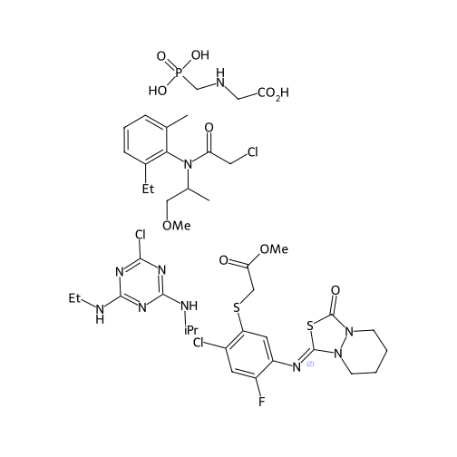 CCNc1nc(Cl)nc(NC(C)C)n1.CCc1cccc(C)c1N(C(=O)CCl)C(C)COC.COC(=O)CSc1cc(/N=c2\sc(=O)n3n2CCCC3)c(F)cc1Cl.O=C(O)CNCP(=O)(O)O